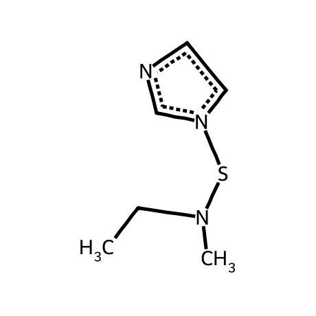 CCN(C)Sn1ccnc1